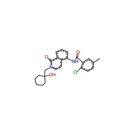 Cc1ccc(Cl)c(C(=O)Nc2cccc3c(=O)n(CC4(O)CCCCC4)ccc23)c1